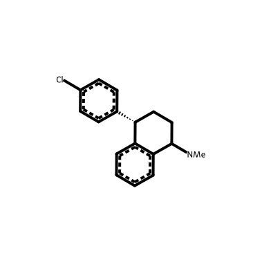 CNC1CC[C@@H](c2ccc(Cl)cc2)c2ccccc21